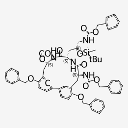 CC(C)(C)[Si](C)(C)O[C@@H](CNC(=O)OCc1ccccc1)C[C@@H]1NC(=O)[C@@H](NC(=O)OCc2ccccc2)Cc2cc(ccc2OCc2ccccc2)-c2ccc(OCc3ccccc3)c(c2)C[C@H](OC(=O)O)NC1=O